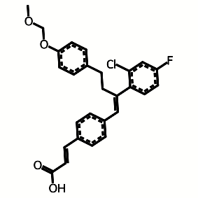 COCOc1ccc(CC/C(=C\c2ccc(/C=C/C(=O)O)cc2)c2ccc(F)cc2Cl)cc1